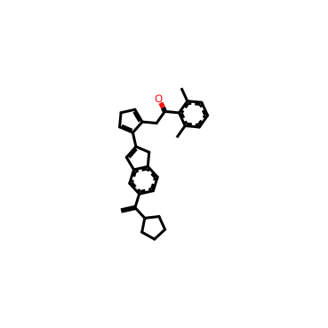 C=C(c1ccc2c(c1)C=C(C1=CCC=C1CC(=O)c1c(C)cccc1C)C2)C1CCCC1